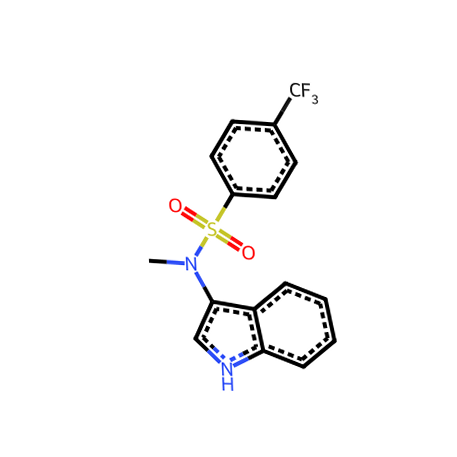 CN(c1c[nH]c2ccccc12)S(=O)(=O)c1ccc(C(F)(F)F)cc1